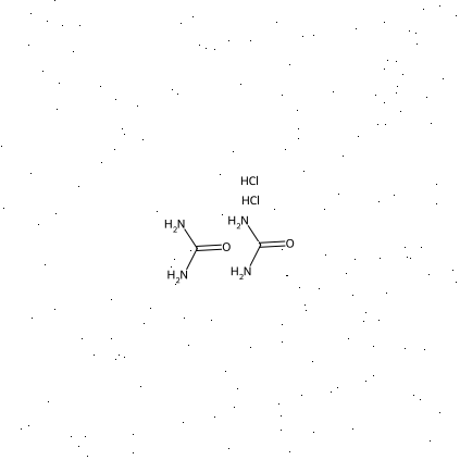 Cl.Cl.NC(N)=O.NC(N)=O